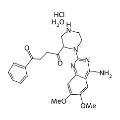 COc1cc2nc(N3CCNCC3C(=O)CCC(=O)c3ccccc3)nc(N)c2cc1OC.Cl.O